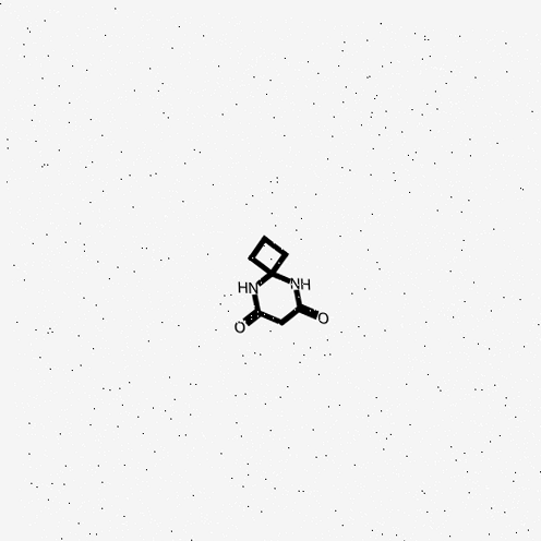 O=C1CC(=O)NC2(CCC2)N1